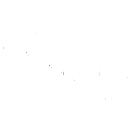 COc1cc(C)c(Cl)c(NC(=O)c2csc3c(Nc4ccc(CN5CC(C)OC(C)C5)cn4)ncnc23)c1Cl